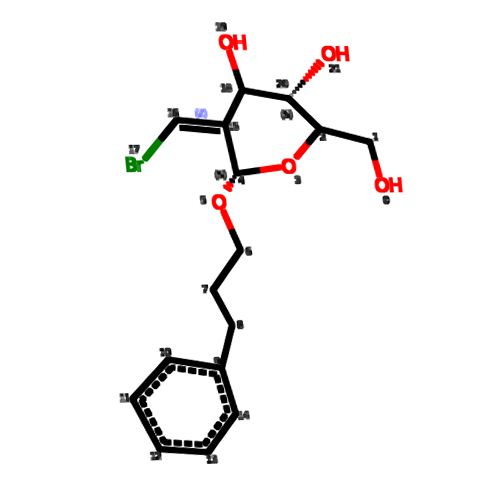 OCC1O[C@H](OCCCc2ccccc2)/C(=C\Br)C(O)[C@@H]1O